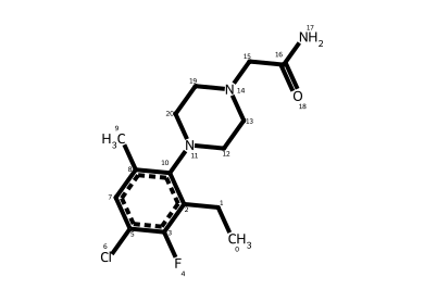 CCc1c(F)c(Cl)cc(C)c1N1CCN(CC(N)=O)CC1